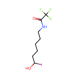 O=C(NCCCCCC(O)I)C(F)(F)F